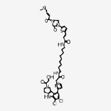 CN(C)CC=CC(=O)N1CCN(c2ccc(/C=C/C(=O)NCCCCCCCCCNC(=O)Cn3ccc(-c4cc(Cl)c(Cl)c5[nH]c6c(c45)CN(C(=O)CO)CC6)n3)s2)C(=O)C1